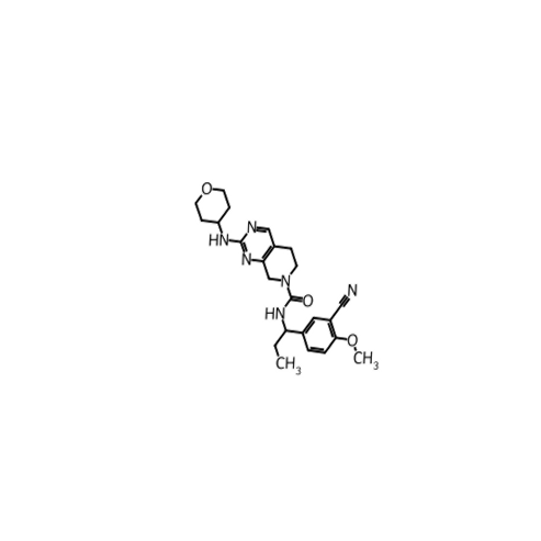 CCC(NC(=O)N1CCc2cnc(NC3CCOCC3)nc2C1)c1ccc(OC)c(C#N)c1